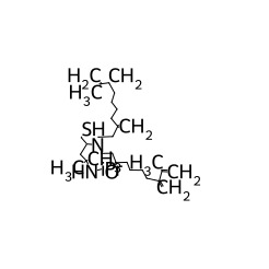 C=C(CCCCC(=C)C(=C)C)CCN(CCC(=O)CCCCC(=C)C(=C)C)C(CS)CC(C)(C)NC(C)C